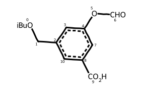 CC(C)COCc1cc(OC=O)cc(C(=O)O)c1